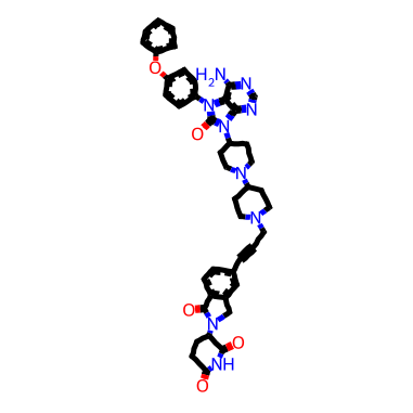 Nc1ncnc2c1n(-c1ccc(Oc3ccccc3)cc1)c(=O)n2C1CCN(C2CCN(CC#Cc3ccc4c(c3)CN(C3CCC(=O)NC3=O)C4=O)CC2)CC1